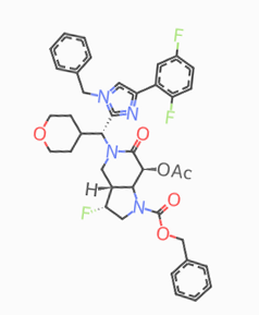 CC(=O)O[C@@H]1C(=O)N([C@@H](c2nc(-c3cc(F)ccc3F)cn2Cc2ccccc2)C2CCOCC2)C[C@@H]2C1N(C(=O)OCc1ccccc1)C[C@@H]2F